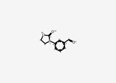 O=Cc1cccc(N2CCOC2=O)c1